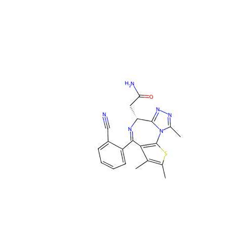 Cc1sc2c(c1C)C(c1ccccc1C#N)=N[C@H](CC(N)=O)c1nnc(C)n1-2